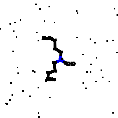 CNCCCN([C]=O)CCCNC